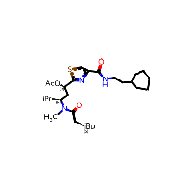 CC[C@H](C)CC(=O)N(C)[C@H](C[C@@H](OC(C)=O)c1nc(C(=O)NCCC2CCCCC2)cs1)C(C)C